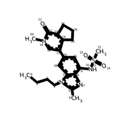 CCCCn1c(C)nc2c(NS(C)(=O)=O)cc(-c3cn(C)c(=O)c4c3CCC4)cc21